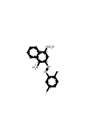 Cc1ccc(I)cc1N=Nc1cc(S(=O)(=O)O)c2ccccc2c1N